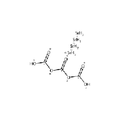 O=C(O)OC(=O)OC(=O)O.[SrH2].[SrH2].[SrH2].[SrH2]